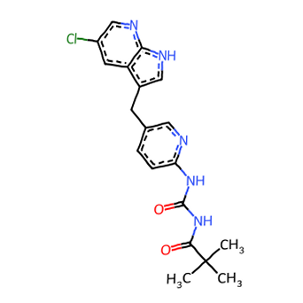 CC(C)(C)C(=O)NC(=O)Nc1ccc(Cc2c[nH]c3ncc(Cl)cc23)cn1